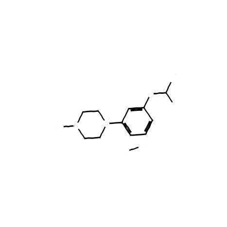 CC(C)(C)O.O=C(O)N1CCN(c2cccc(OC(F)F)c2)CC1